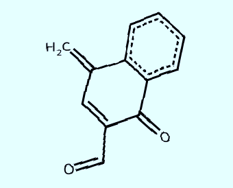 C=C1C=C(C=O)C(=O)c2ccccc21